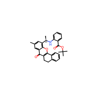 Cc1cc([C@@H](C)Nc2ccccc2C(=O)OC(C)(C)C)c2oc3c(c(=O)c2c1)CCc1ccccc1-3